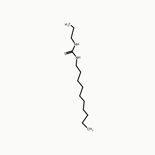 CCCCCCCCCCNC(=S)NCCC